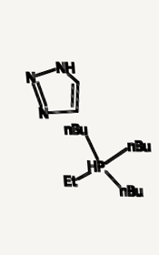 CCCC[PH](CC)(CCCC)CCCC.c1c[nH]nn1